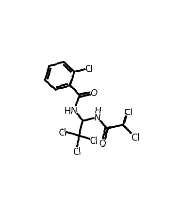 O=C(NC(NC(=O)C(Cl)Cl)C(Cl)(Cl)Cl)c1ccccc1Cl